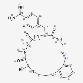 CCC1NCCOc2ccccc2/C=C/CNC(=O)[C@@H](Cc2ccc(C(=N)N)cc2)NC(=O)[C@@H](C)N(C)C1=O